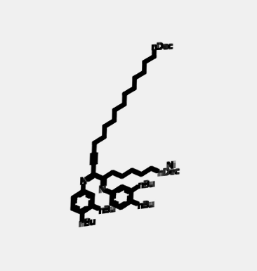 CCCCCCCCCCCCCCCCCCCCCCC#CC(=Nc1ccc(CCCC)c(CCCC)c1)C(CCCCCCCCCCCCCCC)=Nc1ccc(CCCC)c(CCCC)c1.[Ni]